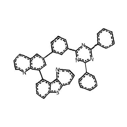 c1ccc(-c2nc(-c3ccccc3)nc(-c3cccc(-c4cc(-c5cccc6sc7cccnc7c56)c5ncccc5c4)c3)n2)cc1